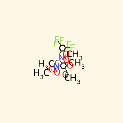 CCOC(=O)N1c2cc(COC)c(OC)cc2C(N(Cc2cc(C(F)(F)F)cc(C(F)(F)F)c2)C(=O)OC)CC1C